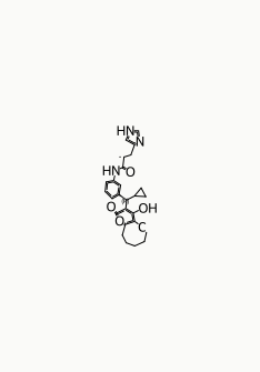 O=C([CH]Cc1c[nH]cn1)Nc1cccc([C@H](c2c(O)c3c(oc2=O)CCCCCC3)C2CC2)c1